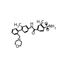 Cc1cc(NC(=O)c2ccc(S(N)(=O)=O)c(C)c2)ccc1-c1ccccc1CN1CCOCC1